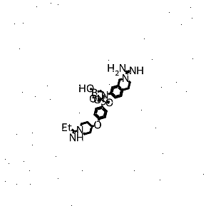 CCC(=N)N1CCC(Oc2ccc(S(=O)(=O)N(CB(O)O)c3ccc4c(c3)CN(C(=N)N)CC4)cc2)CC1